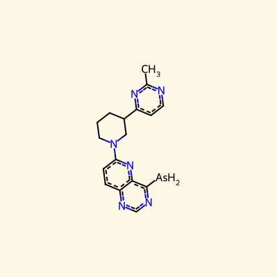 Cc1nccc(C2CCCN(c3ccc4ncnc([AsH2])c4n3)C2)n1